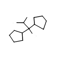 CCCC(CC)C(C#N)(C1CCCC1)C1CCCC1